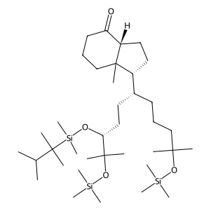 CC(C)C(C)(C)[Si](C)(C)O[C@H](CC[C@@H](CCCC(C)(C)O[Si](C)(C)C)[C@H]1CC[C@H]2C(=O)CCCC12C)C(C)(C)O[Si](C)(C)C